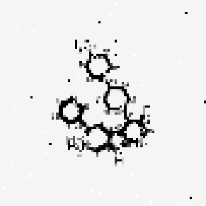 C=C(/C=c1\c(=C/N)[nH]c2ncc(F)c(N3CCC(N4CCN(C)CC4)CC3)c12)c1cccnc1